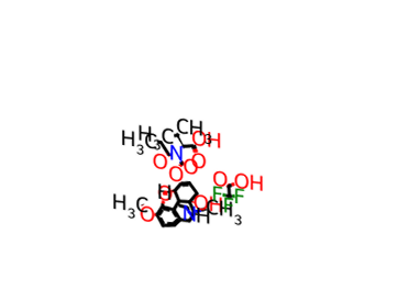 CCC(=O)N(C(=O)OC1=CC[C@@]2(O)[C@H]3Cc4ccc(OC)c5c4[C@@]2(CCN3C)[C@H]1O5)[C@H](C(=O)O)C(C)C.O=C(O)C(F)(F)F